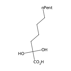 CCCCCCCCCC(O)(O)C(=O)O